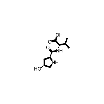 CC(C)[C@H](NC(=O)[C@@H]1C[C@@H](O)CN1)C(=O)O